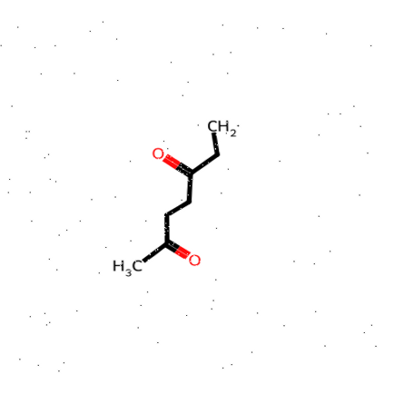 [CH2]CC(=O)CCC(C)=O